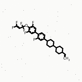 C=CC1CCC(C2CCC(c3ccc(-c4cc(F)c(OC(F)(F)C=C(F)F)c(F)c4)c(F)c3)CC2)CC1